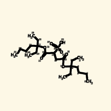 CCCCC(CC)(CC)OC(=O)CC(C(=O)OC(CC)(CC)CCCC)S(=O)(=O)O